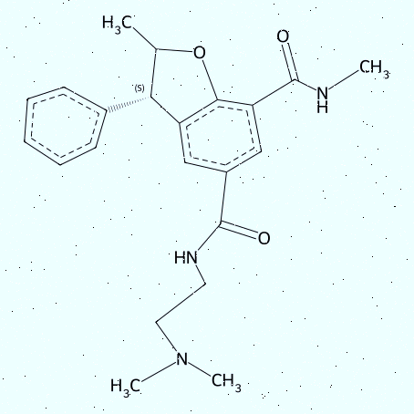 CNC(=O)c1cc(C(=O)NCCN(C)C)cc2c1OC(C)[C@H]2c1ccccc1